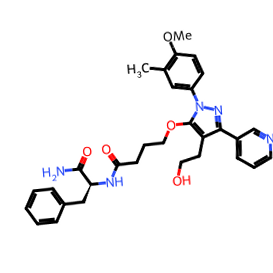 COc1ccc(-n2nc(-c3cccnc3)c(CCO)c2OCCCC(=O)N[C@@H](Cc2ccccc2)C(N)=O)cc1C